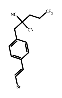 N#CC(C#N)(CCC(F)(F)F)Cc1ccc(/C=C/Br)cc1